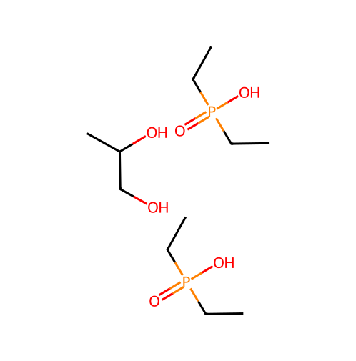 CC(O)CO.CCP(=O)(O)CC.CCP(=O)(O)CC